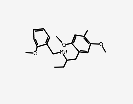 CCC(Cc1cc(OC)c(C)cc1OC)NCc1ccccc1OC